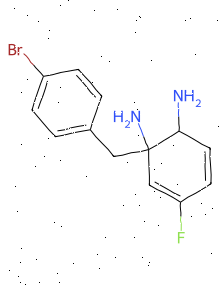 NC1C=CC(F)=CC1(N)Cc1ccc(Br)cc1